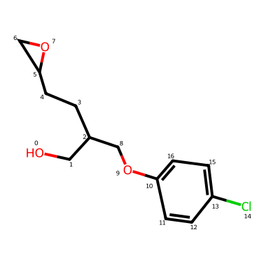 OCC(CCC1CO1)COc1ccc(Cl)cc1